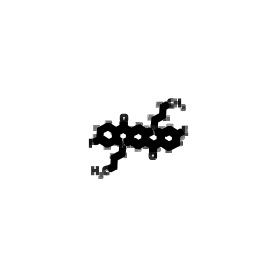 CCCCn1c2c(c(=O)c3cc4c(cc31)c(=O)c1ccc(F)cc1n4CCCC)CCC(F)=C2